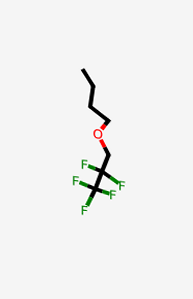 CCCCOCC(F)(F)C(F)(F)F